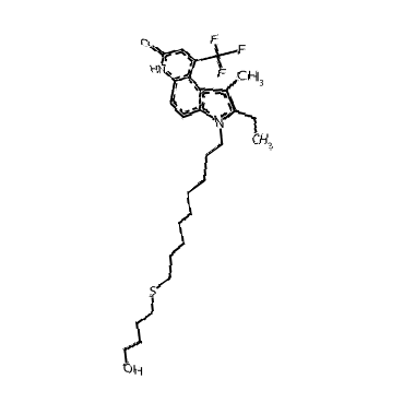 CCc1c(C)c2c3c(C(F)(F)F)cc(=O)[nH]c3ccc2n1CCCCCCCCCSCCCCO